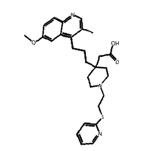 COc1ccc2ncc(C)c(CCCC3(CC(=O)O)CCN(CCSc4ccccn4)CC3)c2c1